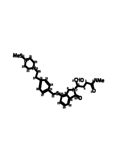 CNC(=O)CCC(C=O)N1Cc2c(SCc3ccc(CCN4CCN(SC)CC4)cc3)cccc2C1=O